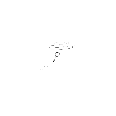 COC(=O)COCC#Cc1ccc([C@H]2C[C@@]3(C)[C@@H](CC[C@@]3(O)C(F)(F)C(F)(F)F)[C@@H]3CCC4=CC(=O)CCC4=C32)cc1